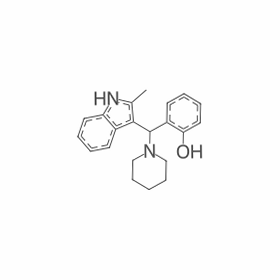 Cc1[nH]c2ccccc2c1C(c1ccccc1O)N1CCCCC1